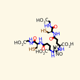 O=[N][Fe]([N]=O)([NH][C@@H](CCC(=O)N[C@@H](CS)C(=O)NCC(=O)O)C(=O)O)[NH][C@@H](CCC(=O)N[C@@H](CS)C(=O)NCC(=O)O)C(=O)O